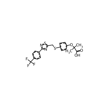 CC(C)(Oc1ccc(SCc2nc(-c3ccc(C(F)(F)F)cc3)ns2)cc1)C(=O)O